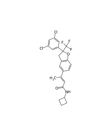 CC(=CC(=O)NC1CCC1)c1ccc2c(c1)CC(c1cc(Cl)cc(Cl)c1)(C(F)(F)F)O2